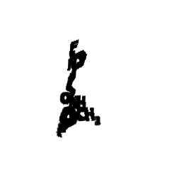 Cc1cc(F)ccc1NC(=O)CCC#Cc1cccc(CF)n1